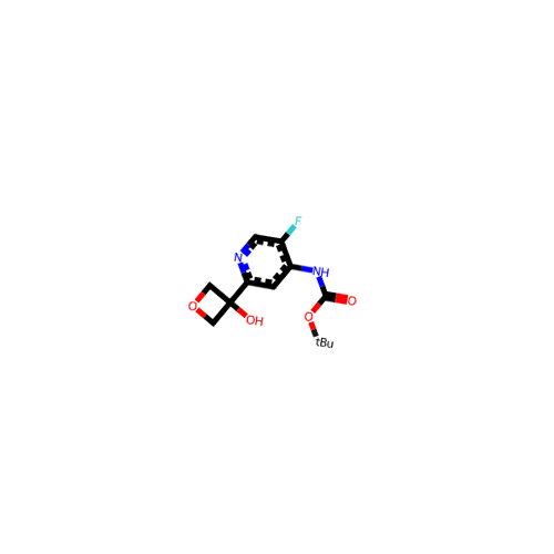 CC(C)(C)OC(=O)Nc1cc(C2(O)COC2)ncc1F